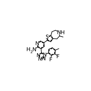 Cc1ccc(-n2nnnc2-c2cc(-c3cc4c(s3)CCNC(C)C4)cnc2N)c(F)c1F